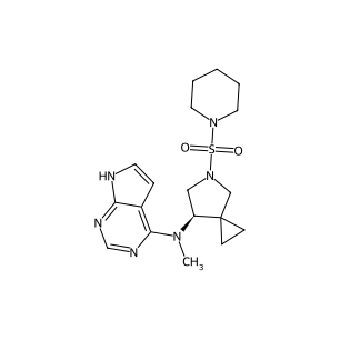 CN(c1ncnc2[nH]ccc12)[C@H]1CN(S(=O)(=O)N2CCCCC2)CC12CC2